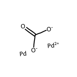 O=C([O-])[O-].[Pd+2].[Pd]